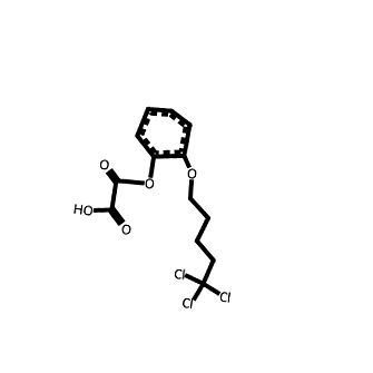 O=C(O)C(=O)Oc1ccccc1OCCCCC(Cl)(Cl)Cl